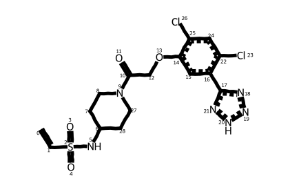 C=CS(=O)(=O)NC1CCN(C(=O)COc2cc(-c3nn[nH]n3)c(Cl)cc2Cl)CC1